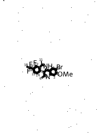 COc1cc2nc(C)cc(N[C@H](C)c3cccc(C(C)(F)F)c3F)c2cc1Br